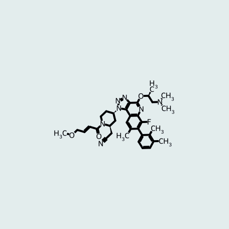 COC/C=C/C(=O)N1CC[C@H](n2nnc3c(O[C@@H](C)CN(C)C)nc4c(F)c(-c5cccc(C)c5C)c(C)cc4c32)C[C@H]1CC#N